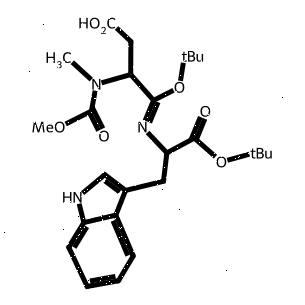 COC(=O)N(C)C(CC(=O)O)C(=NC(Cc1c[nH]c2ccccc12)C(=O)OC(C)(C)C)OC(C)(C)C